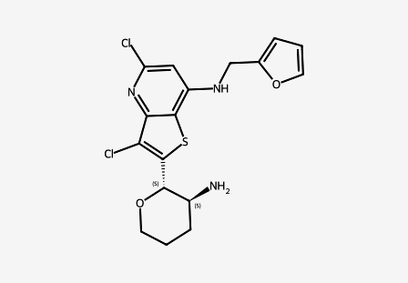 N[C@H]1CCCO[C@@H]1c1sc2c(NCc3ccco3)cc(Cl)nc2c1Cl